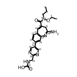 CCCN(OCC)C(=O)C1=Cc2ccc(-c3cnc(CNC(=O)O)nc3)cc2N=C(N)C1